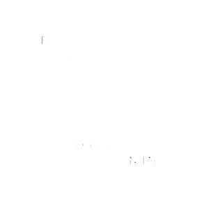 CC(=O)N[C@H]([C]=O)Cc1ccc(Br)cc1